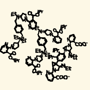 CCN(Cc1ccc(C[N+](CC)(CC)C2CCN(c3ncccc3C(=O)OC(C)C)C2)cc1)[C@@H]1CCN(c2ncccc2C(=O)OC(C)C)C1.CCN(Cc1ccc(C[N+](CC)(CC)[C@@H]2CCN(c3ncccc3C(=O)OC(C)C)C2)cc1)[C@@H]1CCN(c2ncccc2C(=O)OC(C)C)C1.CCN=C1CN(c2ncccc2C(=O)[O-])C2C[C@]12c1ccc([C@]23CC2N(c2ncccc2C(=O)[O-])CC3=NCC)c(C(C)C)c1C(C)C